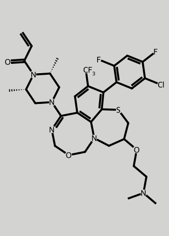 C=CC(=O)N1[C@H](C)CN(/C2=N/COCN3CC(OCCN(C)C)CSc4c(-c5cc(Cl)c(F)cc5F)c(C(F)(F)F)cc2c43)C[C@@H]1C